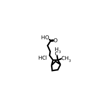 CC1(C)C2CCC(C2)C1CCCC(=O)O.Cl